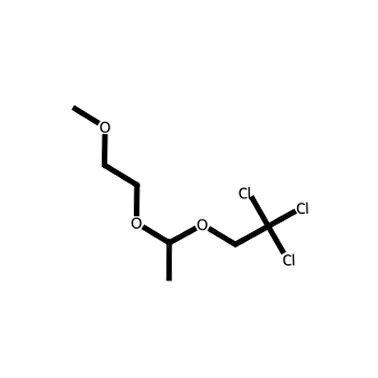 COCCO[C](C)OCC(Cl)(Cl)Cl